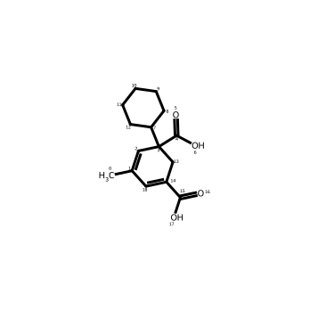 CC1=CC(C(=O)O)(C2CCCCC2)CC(C(=O)O)=C1